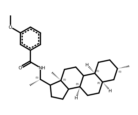 COc1cccc(C(=O)N[C@@H](C)C2CCC3[C@@H]4CC[C@@H]5C[C@@H](C)CC[C@@H]5C4CC[C@@]32C)c1